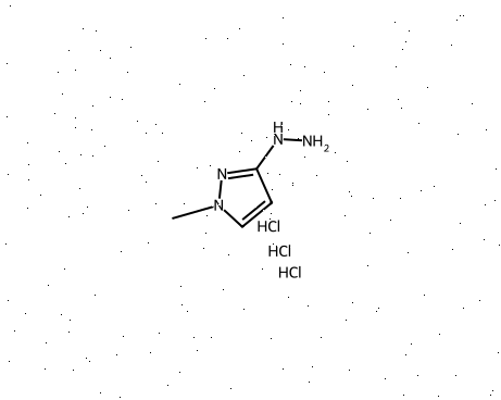 Cl.Cl.Cl.Cn1ccc(NN)n1